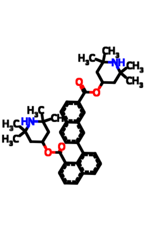 CC1(C)CC(OC(=O)c2ccc3ccc(-c4cccc5cccc(C(=O)OC6CC(C)(C)NC(C)(C)C6)c45)cc3c2)CC(C)(C)N1